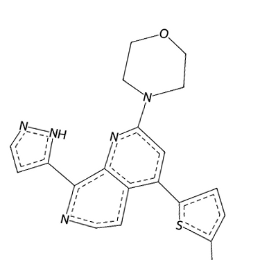 Clc1ccc(-c2cc(N3CCOCC3)nc3c(-c4ccn[nH]4)nccc23)s1